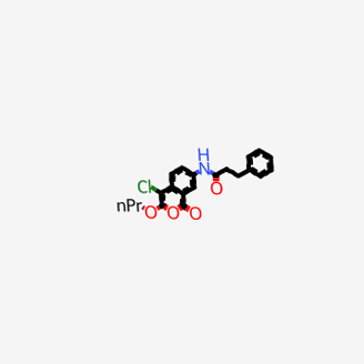 CCCOc1oc(=O)c2cc(NC(=O)CCc3ccccc3)ccc2c1Cl